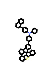 c1ccc(N(c2ccc(-c3ccc4c(c3)-c3ccccc3C43c4ccccc4-c4sc5ccccc5c43)cc2)c2ccc(-c3cccc4ccccc34)cc2)cc1